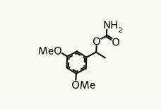 COc1cc(OC)cc(C(C)OC(N)=O)c1